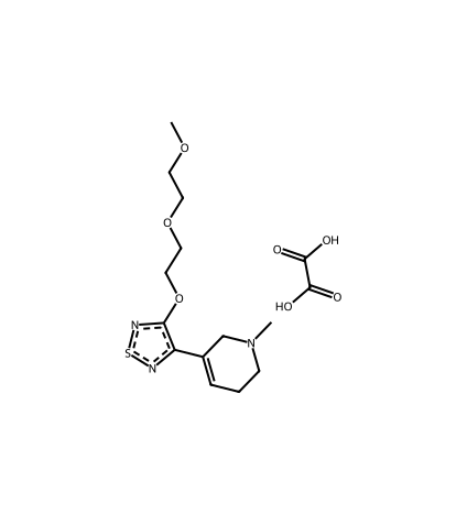 COCCOCCOc1nsnc1C1=CCCN(C)C1.O=C(O)C(=O)O